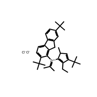 CCC1=[C]([Zr+2](=[C](C)C)[c]2c(C(C)(C)C)ccc3c2Cc2cc(C(C)(C)C)ccc2-3)C(C)C=C1C(C)(C)C.[Cl-].[Cl-]